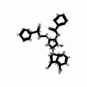 C[C@H]1[C@H](OC(=O)c2ccccc2)[C@@H](COC(=O)c2ccccc2)O[C@H]1n1cc(I)c2c(Cl)ncnc21